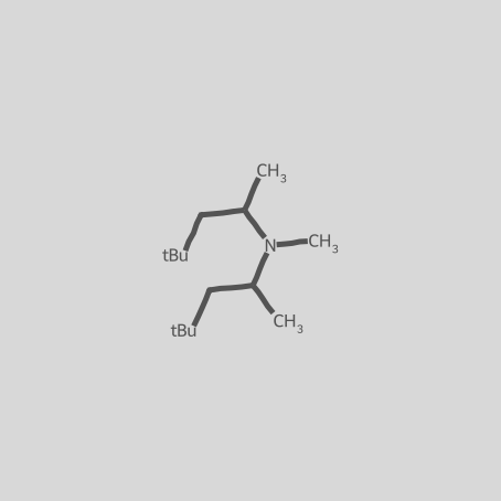 CC(CC(C)(C)C)N(C)C(C)CC(C)(C)C